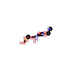 O=S(=O)(CCO)c1cccc(OC[C@@H](O)CN[C@H]2COC3(CCN(S(=O)(=O)c4cccc(-c5ccccn5)c4)CC3)C2)c1